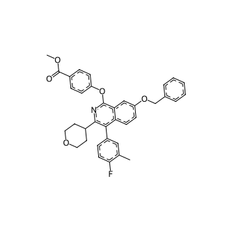 COC(=O)c1ccc(Oc2nc(C3CCOCC3)c(-c3ccc(F)c(C)c3)c3ccc(OCc4ccccc4)cc23)cc1